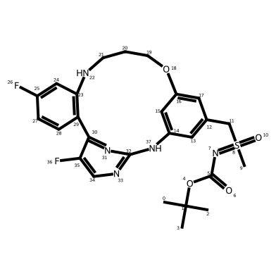 CC(C)(C)OC(=O)N=S(C)(=O)Cc1cc2cc(c1)OCCCNc1cc(F)ccc1-c1nc(ncc1F)N2